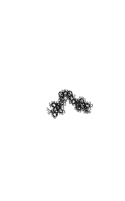 CC(C)(C)c1cccc2c1oc1c(N(c3ccccc3)c3ccc4cc5c(cc4c3)oc3ccc4oc6cc7cc(N(c8ccccc8)c8cccc9c8oc8c(C(C)(C)C)cccc89)ccc7cc6c4c35)cccc12